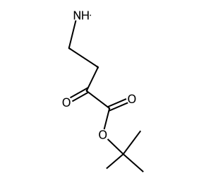 CC(C)(C)OC(=O)C(=O)CC[NH]